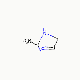 O=[N+]([O-])C1N=[C]CN1